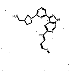 C=N/C=C\C=C(/C)c1cc2c(-c3cccc(N4CC[C@@H](CN)C4)n3)n[nH]c2cn1